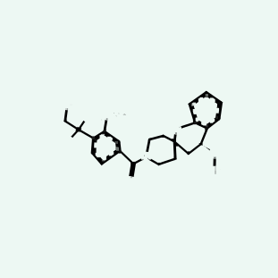 COc1cc(C(=O)N2CCC3(CC2)C[C@H](OC(C)C)c2ccccc2O3)ccc1C(C)(C)CO